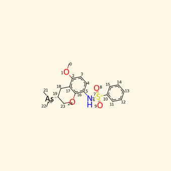 COc1ccc(NS(=O)(=O)c2ccccc2)c2c1C[C@@H]([As](C)C)CO2